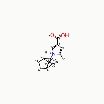 Cc1cc(C(=O)O)cn1C1CC2CCC1(C)C2(C)C